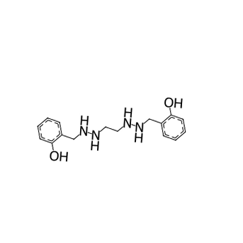 Oc1ccccc1CNNCCNNCc1ccccc1O